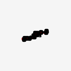 C=CC(=O)OCCCCCCOc1ccc2cc(C(=O)Oc3ccc(OC(=O)c4ccc5cc(OCCCCCCOC(=O)C=C)ccc5c4)c(C(F)(F)F)c3)ccc2c1